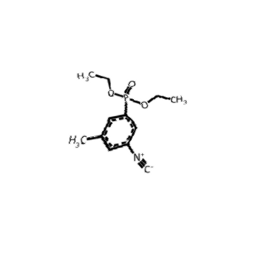 [C-]#[N+]c1cc(C)cc(P(=O)(OCC)OCC)c1